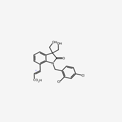 O=C(O)/C=C/c1cccc2c1N(Cc1ccc(Cl)cc1Cl)C(=O)C2(CO)CO